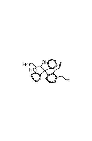 C=CCc1cccc(C(c2ccccc2)(c2ccccc2)C(O)C(O)CO)c1CC=C